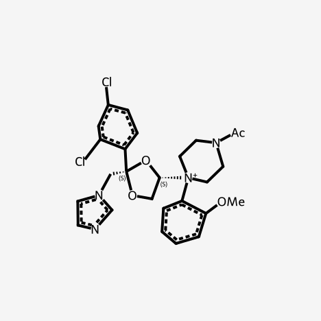 COc1ccccc1[N+]1([C@@H]2CO[C@@](Cn3ccnc3)(c3ccc(Cl)cc3Cl)O2)CCN(C(C)=O)CC1